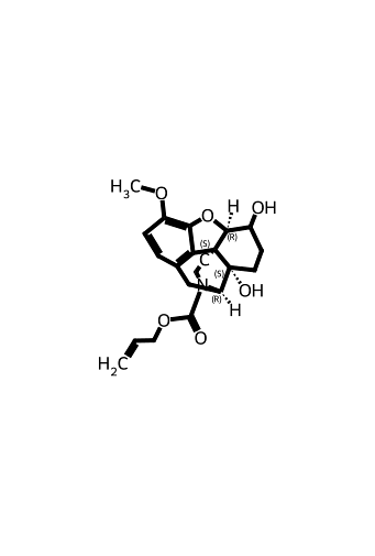 C=CCOC(=O)N1CC[C@]23c4c5ccc(OC)c4O[C@H]2C(O)CC[C@@]3(O)[C@H]1C5